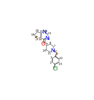 Clc1ccc(SN2CCC(Oc3ncnc4c3SCC4)CC2)cc1